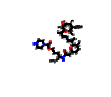 CO[C@H]([C@@H](C)[C@H]1O[C@]1(C)C[C@H](C)/C=C/C=C(\C)[C@H]1O[C@@H](CC(=O)N[C@@H](CCCOC(=O)N2CCNCC2)C(=O)O)CC[C@@H]1C)[C@@H](C)O